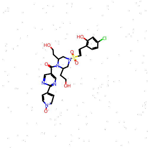 O=C(c1cnc(-c2cc[n+]([O-])cc2)nc1)N1C(CCO)CN(S(=O)(=O)C=Cc2ccc(Cl)cc2O)CC1CCO